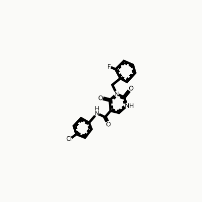 O=C(Nc1ccc(Cl)cc1)c1c[nH]c(=O)n(Cc2ccccc2F)c1=O